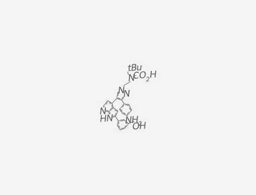 CC(C)(C)CN(CCn1cc(-c2ccnc3[nH]c(-c4cccc(CO)c4)cc23)c(-c2ccc(N)cc2)n1)C(=O)O